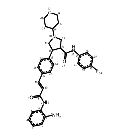 Nc1ccccc1NC(=O)/C=C/c1ccc(C2CN(C3CCOCC3)CC2C(=O)Nc2ccc(F)cc2)cc1